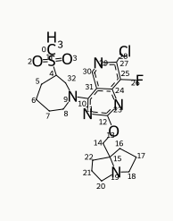 CS(=O)(=O)C1CCCCN(c2nc(OCC34CCCN3CCC4)nc3c(F)c(Cl)ncc23)C1